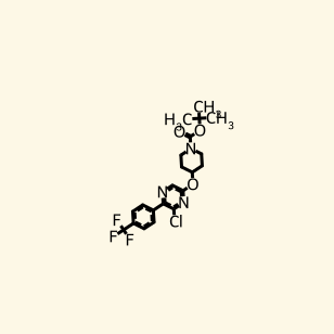 CC(C)(C)OC(=O)N1CCC(Oc2cnc(-c3ccc(C(F)(F)F)cc3)c(Cl)n2)CC1